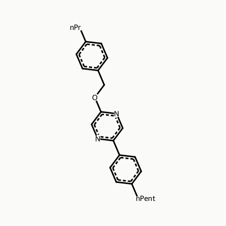 CCCCCc1ccc(-c2cnc(OCc3ccc(CCC)cc3)cn2)cc1